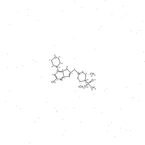 C[C@@H]1CN(Cc2cc3nc(Cl)nc(N4CCOCC4)c3s2)C[C@H](C)N1S(C)(=O)=O